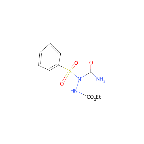 CCOC(=O)NN(C(N)=O)S(=O)(=O)c1ccccc1